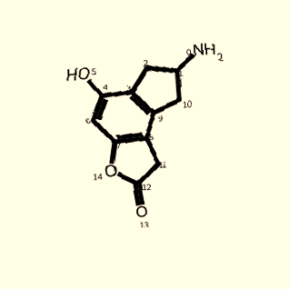 NC1Cc2c(O)cc3c(c2C1)CC(=O)O3